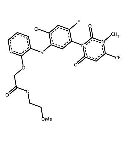 COCCOC(=O)COc1ncccc1Sc1cc(-n2c(=O)cc(C(F)(F)F)n(C)c2=O)c(F)cc1Cl